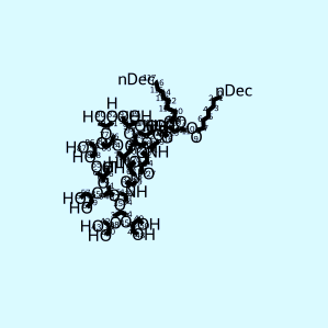 CCCCCCCCCCCCCCCCCC(=O)OCC(COP(=O)(O)OCCNC(=O)CCC(=O)N(CC(=O)NC(COC(COC(CO)CO)COC(CO)CO)COC(COC(CO)CO)COC(CO)CO)CC(=O)NC(COC(COC(CO)CO)COC(CO)CO)COC(COC(CO)CO)COC(CO)CO)OC(=O)CCCCCCCCCCCCCCCCC